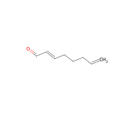 C=CCCC/C=C/[C]=O